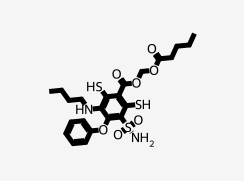 CCCCNc1c(S)c(C(=O)OCOC(=O)CCCC)c(S)c(S(N)(=O)=O)c1Oc1ccccc1